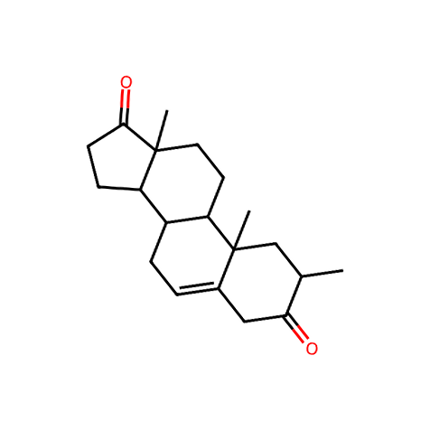 CC1CC2(C)C(=CCC3C4CCC(=O)C4(C)CCC32)CC1=O